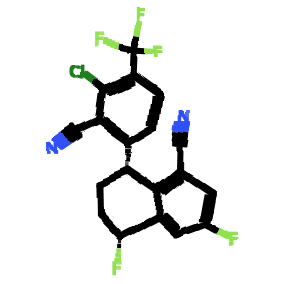 N#Cc1cc(F)cc2c1[C@@H](c1ccc(C(F)(F)F)c(Cl)c1C#N)CC[C@H]2F